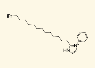 CC(C)CCCCCCCCCCCCCc1[nH]cc[n+]1-c1ccccc1